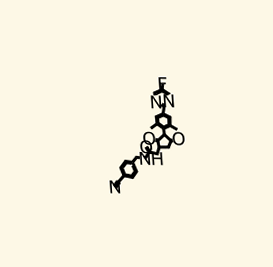 Cc1cc(-c2ncc(F)cn2)cc(C)c1C1C(=O)CC(CC(=O)NCc2ccc(C#N)cc2)C1=O